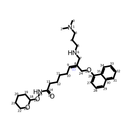 CN(C)CCCNC/C(=C/CCCCC(=O)NOC1CCCCO1)COc1cccc2ccccc12